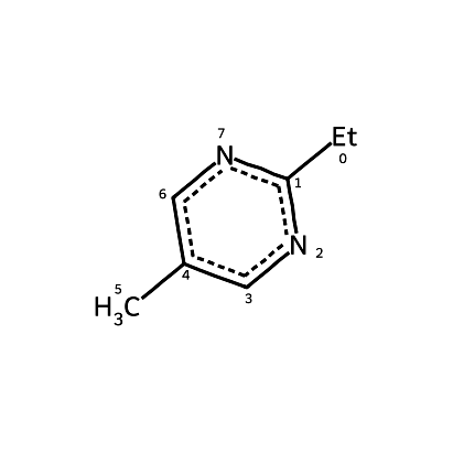 CCc1ncc(C)cn1